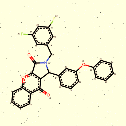 O=C1c2oc3ccccc3c(=O)c2C(c2cccc(Oc3ccccc3)c2)N1Cc1cc(F)cc(F)c1